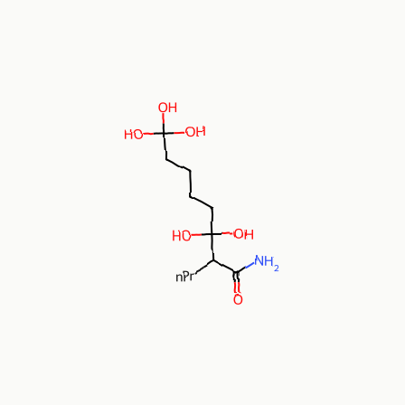 CCCC(C(N)=O)C(O)(O)CCCCC(O)(O)O